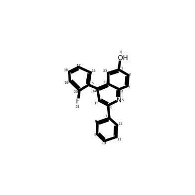 Oc1ccc2nc(-c3ccccc3)cc(-c3ccccc3F)c2c1